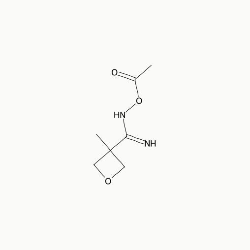 CC(=O)ONC(=N)C1(C)COC1